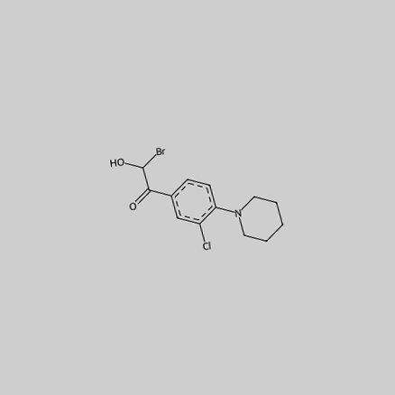 O=C(c1ccc(N2CCCCC2)c(Cl)c1)C(O)Br